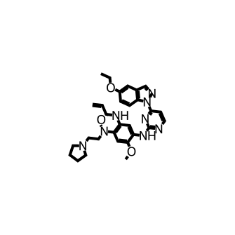 C=CC(=O)Nc1cc(Nc2nccc(-n3ncc4cc(OCC)ccc43)n2)c(OC)cc1N(C)CCN1CCCC1